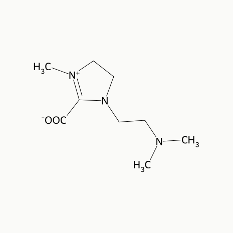 CN(C)CCN1CC[N+](C)=C1C(=O)[O-]